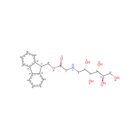 O=C(CNC[C@H](O)[C@@H](O)[C@H](O)[C@H](O)CO)OCC1c2ccccc2-c2ccccc21